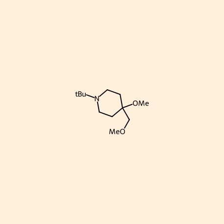 COCC1(OC)CCN(C(C)(C)C)CC1